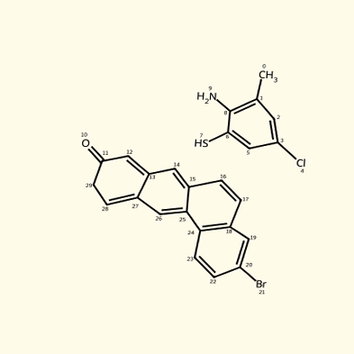 Cc1cc(Cl)cc(S)c1N.O=C1C=c2cc3ccc4cc(Br)ccc4c3cc2=CC1